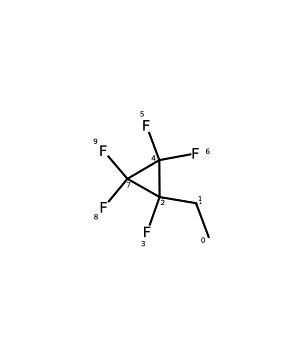 C[CH]C1(F)C(F)(F)C1(F)F